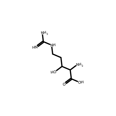 N=C(N)NCCC(O)C(N)C(=O)O